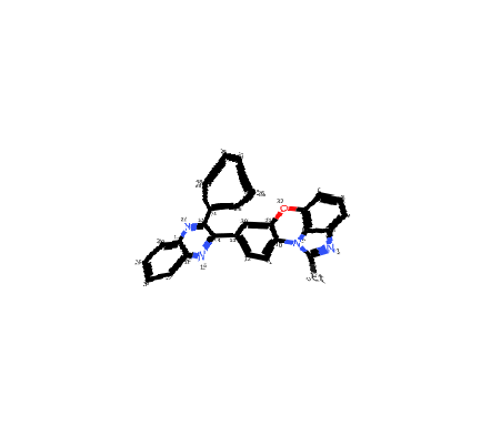 CCc1nc2cccc3c2n1-c1ccc(-c2nc4ccccc4nc2-c2ccccc2)cc1O3